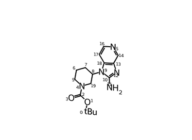 CC(C)(C)OC(=O)N1CCCC(n2c(N)nc3cnccc32)C1